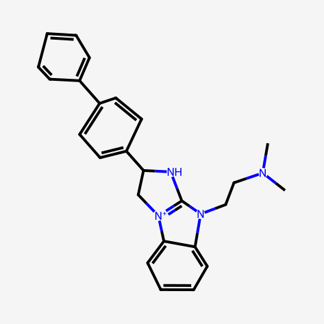 CN(C)CCn1c2[n+](c3ccccc31)CC(c1ccc(-c3ccccc3)cc1)N2